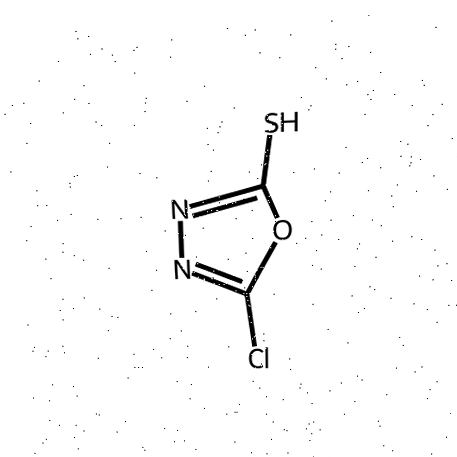 Sc1nnc(Cl)o1